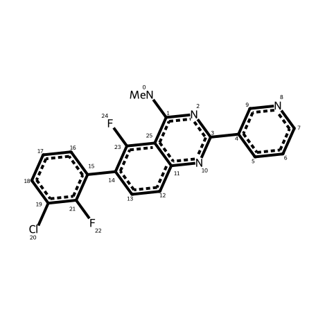 CNc1nc(-c2cccnc2)nc2ccc(-c3cccc(Cl)c3F)c(F)c12